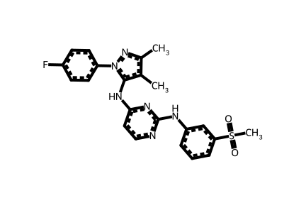 Cc1nn(-c2ccc(F)cc2)c(Nc2ccnc(Nc3cccc(S(C)(=O)=O)c3)n2)c1C